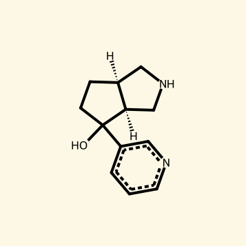 OC1(c2cccnc2)CC[C@H]2CNC[C@H]21